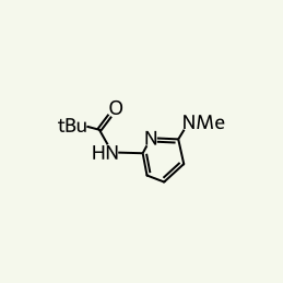 CNc1cccc(NC(=O)C(C)(C)C)n1